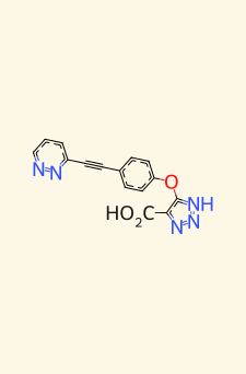 O=C(O)c1nn[nH]c1Oc1ccc(C#Cc2cccnn2)cc1